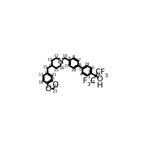 OC(c1ccc(-c2ccc(CN3CCC(Cc4ccc5c(c4)OCO5)CC3)cc2)cc1)(C(F)(F)F)C(F)(F)F